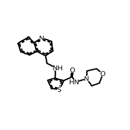 O=C(NN1CCOCC1)c1sccc1NCc1ccnc2ccccc12